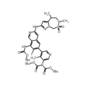 Cc1c(-c2cc3cc(Nc4cc5n(n4)CS(=O)(=O)N(C)CC5C)ncc3c(NC(=O)OC(C)(C)C)c2F)cncc1N(C(=O)OC(C)(C)C)C(=O)OC(C)(C)C